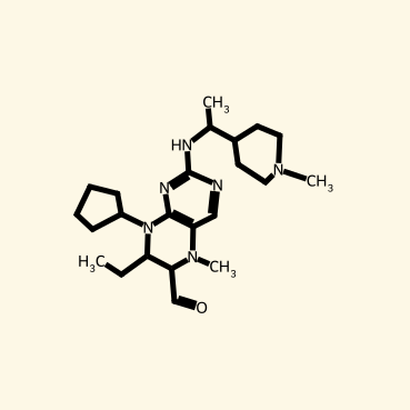 CCC1C(C=O)N(C)c2cnc(NC(C)C3CCN(C)CC3)nc2N1C1CCCC1